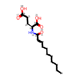 CCCCCCCCC=CC(=O)N[C@@H](CCC(=O)O)C(=O)O